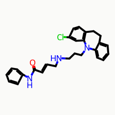 O=C(/C=C/CNCCCN1c2ccccc2CCc2ccc(Cl)cc21)Nc1ccccc1